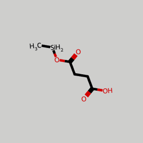 C[SiH2]OC(=O)CCC(=O)O